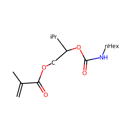 C=C(C)C(=O)OCC(OC(=O)NCCCCCC)C(C)C